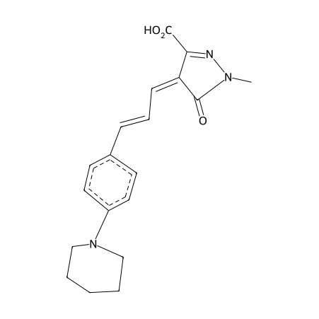 CN1N=C(C(=O)O)/C(=C/C=C/c2ccc(N3CCCCC3)cc2)C1=O